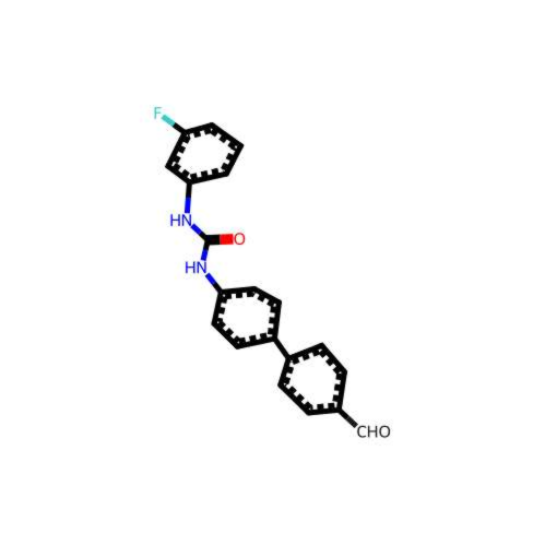 O=Cc1ccc(-c2ccc(NC(=O)Nc3cccc(F)c3)cc2)cc1